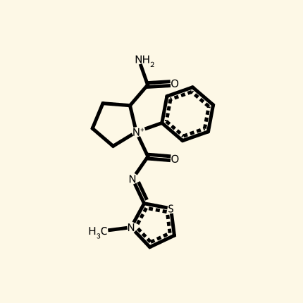 Cn1ccsc1=NC(=O)[N+]1(c2ccccc2)CCCC1C(N)=O